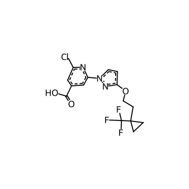 O=C(O)c1cc(Cl)nc(-n2ccc(OCCC3(C(F)(F)F)CC3)n2)c1